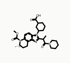 COC(=O)N1c2ccc3c(nc(C(C)C(=O)N4CCCCC4)n3C3CCCC(C(=O)O)C3)c2CC[C@@H]1C